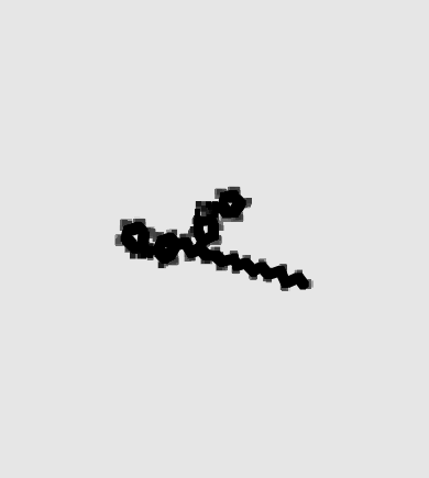 CCCCCCCCCCC[CH]CC(CCc1ccc(Nc2ccccc2)cc1)C1C=CC(Nc2ccccc2)CC1